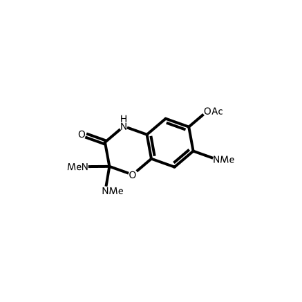 CNc1cc2c(cc1OC(C)=O)NC(=O)C(NC)(NC)O2